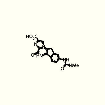 CNC(=O)Nc1ccc2c(c1)Cc1c-2[nH]c(=O)c2nc(C(=O)O)cn12